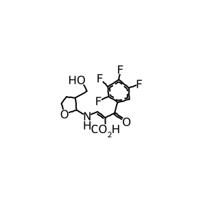 O=C(O)C(=CNC1OCCC1CO)C(=O)c1cc(F)c(F)c(F)c1F